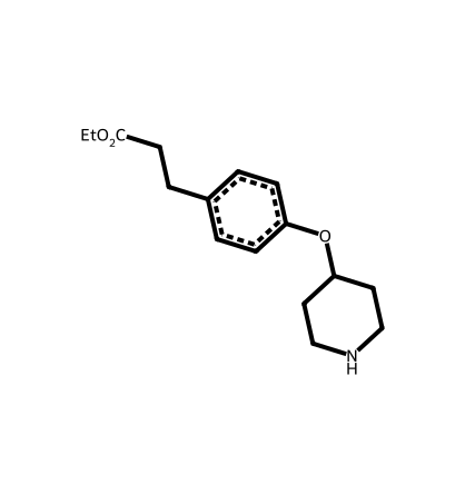 CCOC(=O)CCc1ccc(OC2CCNCC2)cc1